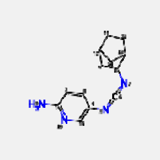 Nc1ccc(N=C=NC2CC3CCC2C3)cn1